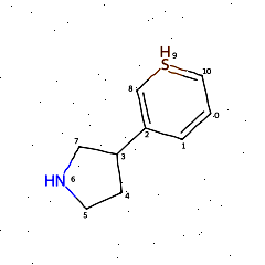 C1=CC(C2CCNC2)=C[SH]=C1